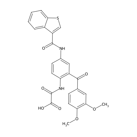 COc1ccc(C(=O)c2cc(NC(=O)c3csc4ccccc34)ccc2NC(=O)C(=O)O)cc1OC